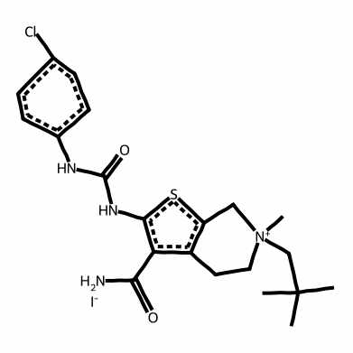 CC(C)(C)C[N+]1(C)CCc2c(sc(NC(=O)Nc3ccc(Cl)cc3)c2C(N)=O)C1.[I-]